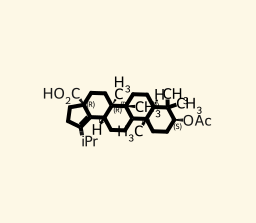 CC(=O)O[C@H]1CC[C@]2(C)C3CC[C@@H]4C5=C(C(C)C)CC[C@]5(C(=O)O)CC[C@@]4(C)[C@]3(C)CC[C@H]2C1(C)C